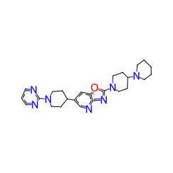 c1cnc(N2CCC(c3cnc4nc(N5CCC(N6CCCCC6)CC5)oc4c3)CC2)nc1